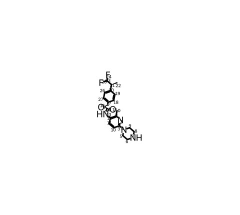 Cc1nc(N2CCNCC2)ccc1NS(=O)(=O)c1ccc([C@H](C)C(F)F)cc1